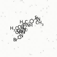 Cc1ncsc1-c1ccc([C@H](C)NC(=O)[C@@H]2CCCN2C(=O)C(NC(=O)c2cc(Br)ccn2)C(C)(C)C)cc1